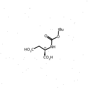 CC(C)(C)OC(=O)N[C@H](CC(=O)O)C(=O)O